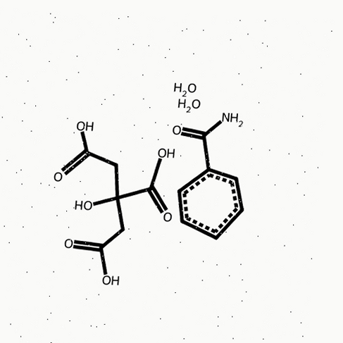 NC(=O)c1ccccc1.O.O.O=C(O)CC(O)(CC(=O)O)C(=O)O